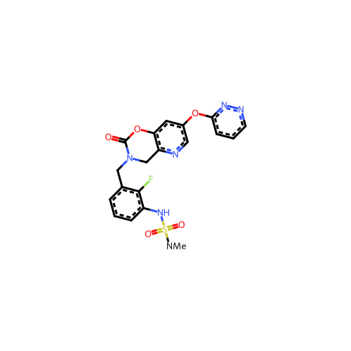 CNS(=O)(=O)Nc1cccc(CN2Cc3ncc(Oc4cccnn4)cc3OC2=O)c1F